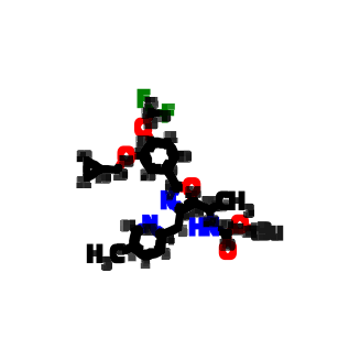 Cc1ccc(Cc2nc(-c3ccc(OC(F)F)c(OCC4CC4)c3)oc2C(C)NC(=O)OC(C)(C)C)nc1